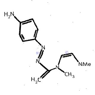 C=C(/N=N/c1ccc(N)cc1)N(C)/C=C\NC